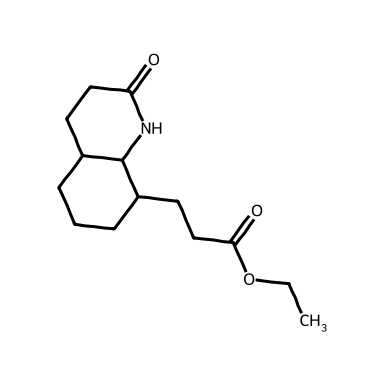 CCOC(=O)CCC1CCCC2CCC(=O)NC21